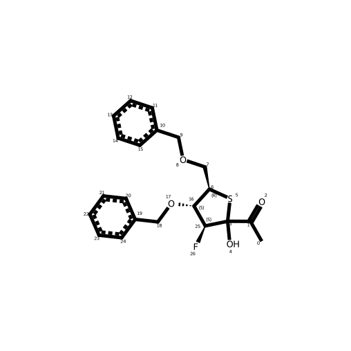 CC(=O)C1(O)S[C@H](COCc2ccccc2)[C@@H](OCc2ccccc2)[C@@H]1F